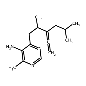 C=C=C(CC(C)C)C(C)Cc1ncnc(C)c1N